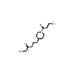 O=C(CCCC1CCN(C(=O)[CH]CO)CC1)NO